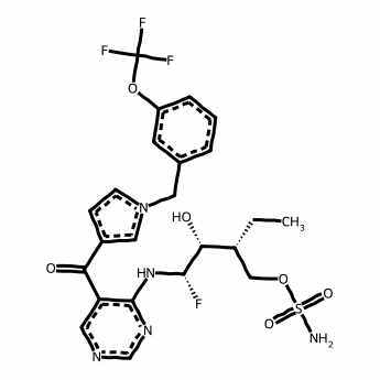 CC[C@H](COS(N)(=O)=O)[C@@H](O)[C@H](F)Nc1ncncc1C(=O)c1ccn(Cc2cccc(OC(F)(F)F)c2)c1